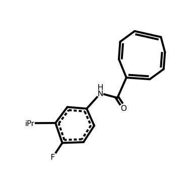 CC(C)c1cc(NC(=O)C2=C/C=C\C=C/C=C\2)ccc1F